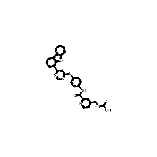 O=C(O)NCc1ccnc(C(=O)Nc2ccc(Nc3cc(-c4cccc5c4oc4ccccc45)ncn3)cc2)c1